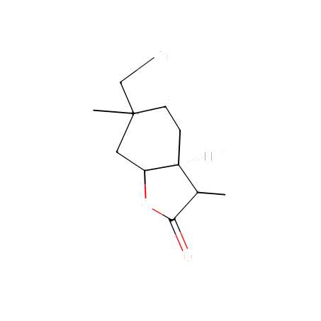 CC(C)CC1(C)CC[C@@H]2C(C1)OC(=O)C2C